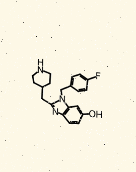 Oc1ccc2nc(CC3CCNCC3)n(Cc3ccc(F)cc3)c2c1